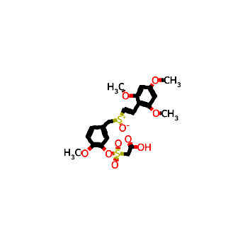 COc1cc(OC)c(C=C[S+]([O-])Cc2ccc(OC)c(OS(=O)(=O)CC(=O)O)c2)c(OC)c1